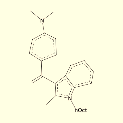 C=C(c1ccc(N(C)C)cc1)c1c(C)n(CCCCCCCC)c2ccccc12